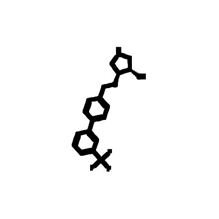 O[C@H]1CNC[C@@H]1OCc1ccc(-c2cccc(C(F)(F)F)c2)cc1